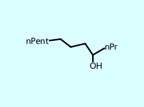 [CH2]CCC(O)CCCCCCCC